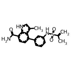 C=C(C)S(=O)(=O)Nc1cccc(-c2ccc(C(N)=O)c3[nH]cc(C)c23)c1